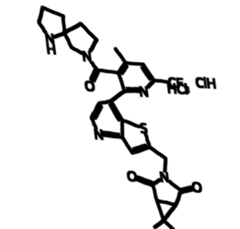 Cc1cc(C(F)(F)F)nc(-c2ccnc3cc(CN4C(=O)C5C(C4=O)C5(C)C)sc23)c1C(=O)N1CCC2(CCCN2)C1.Cl.Cl